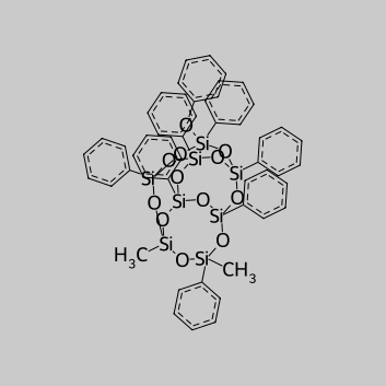 C[Si]12O[Si](C)(c3ccccc3)O[Si]3(c4ccccc4)O[Si](c4ccccc4)(O1)O[Si]1(c4ccccc4)O[Si](c4ccccc4)(O2)O[Si](Oc2ccccc2)(c2ccccc2)O[Si](c2ccccc2)(O3)O1